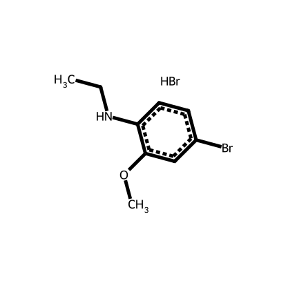 Br.CCNc1ccc(Br)cc1OC